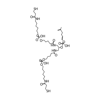 C=C(C)CC/C=C/OP(=O)(O)OC(CNC(=O)CCCCOP(=O)(O)OCCCCCCNC(=O)CCS)CNC(=O)CCCCOP(=O)(O)OCCCCCCNC(=O)CCS